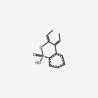 C/C=C1\C(=C/C)OP(=O)(O)c2ccccc21